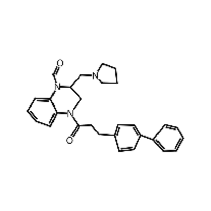 O=CN1c2ccccc2N(C(=O)CCc2ccc(-c3ccccc3)cc2)CC1CN1CCCC1